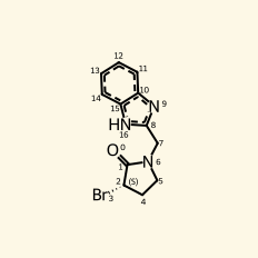 O=C1[C@@H](Br)CCN1Cc1nc2ccccc2[nH]1